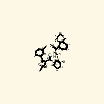 Cc1cccc(-c2sc(C)nc2C(=O)N2[C@@H]3CC[C@@H](C3)[C@H]2CNC(=O)c2cccc3c2OCCO3)c1